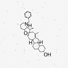 CC1=C2C[C@H]3C(CCC4C[C@@H](O)CC[C@@]43C)[C@@H]2CC[C@@]2(C1)OC1C[C@H](C)CN(Cc3ccccc3)[C@H]1[C@H]2C